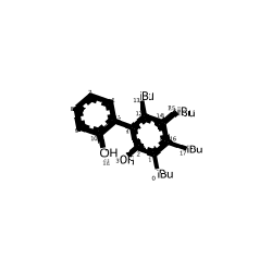 CCC(C)c1c(O)c(-c2ccccc2O)c(C(C)CC)c(C(C)CC)c1C(C)CC